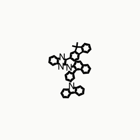 CC1(C)c2ccccc2-c2ccc(-c3nc4ccccc4nc3-n3c4ccc(-n5c6ccccc6c6ccccc65)cc4c4c5ccccc5ccc43)cc21